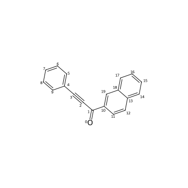 O=C(C#Cc1ccccc1)c1ccc2ccccc2c1